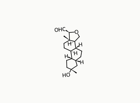 C[C@@]1(O)CC[C@H]2[C@H](CC[C@@H]3[C@@H]2CC[C@]2(C)[C@@H](C=O)OC[C@@H]32)C1